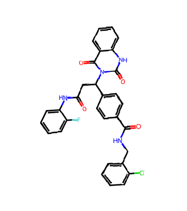 O=C(CC(c1ccc(C(=O)NCc2ccccc2Cl)cc1)n1c(=O)[nH]c2ccccc2c1=O)Nc1ccccc1F